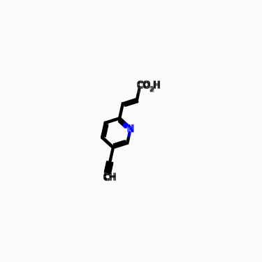 C#Cc1ccc(C=CC(=O)O)nc1